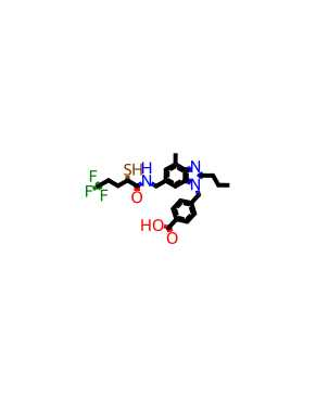 CCCc1nc2c(C)cc(CNC(=O)C(S)CCC(F)(F)F)cc2n1Cc1ccc(C(=O)O)cc1